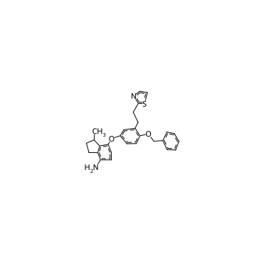 CC1CCc2c(N)ccc(Oc3ccc(OCc4ccccc4)c(CCc4nccs4)c3)c21